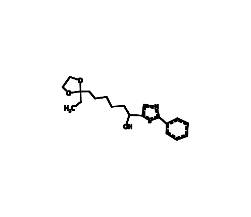 CCC1(CCCCCC(O)c2cnc(-c3ccccc3)s2)OCCO1